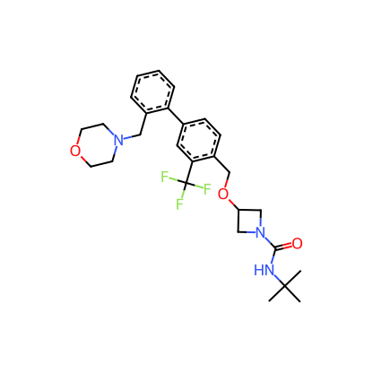 CC(C)(C)NC(=O)N1CC(OCc2ccc(-c3ccccc3CN3CCOCC3)cc2C(F)(F)F)C1